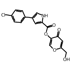 O=C(Oc1coc(CO)cc1=O)c1cc(-c2ccc(Cl)cc2)c[nH]1